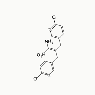 NC(=C(Cc1ccc(Cl)nc1)Cc1ccc(Cl)nc1)[N+](=O)[O-]